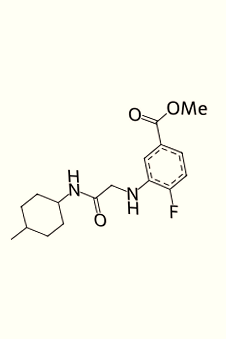 COC(=O)c1ccc(F)c(NCC(=O)NC2CCC(C)CC2)c1